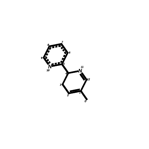 CC1=CCC(c2ccccn2)N=C1